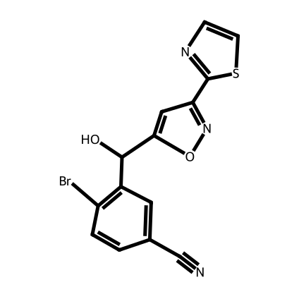 N#Cc1ccc(Br)c(C(O)c2cc(-c3nccs3)no2)c1